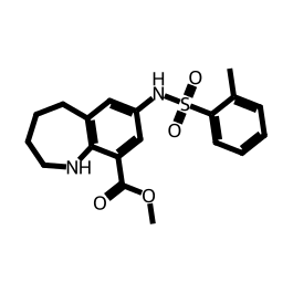 COC(=O)c1cc(NS(=O)(=O)c2ccccc2C)cc2c1NCCCC2